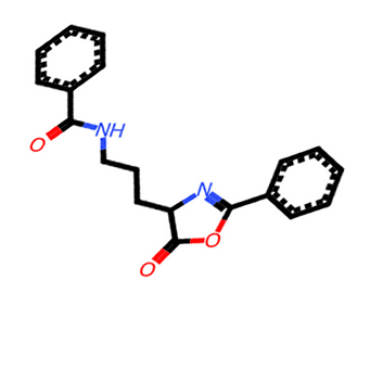 O=C(NCCCC1N=C(c2ccccc2)OC1=O)c1ccccc1